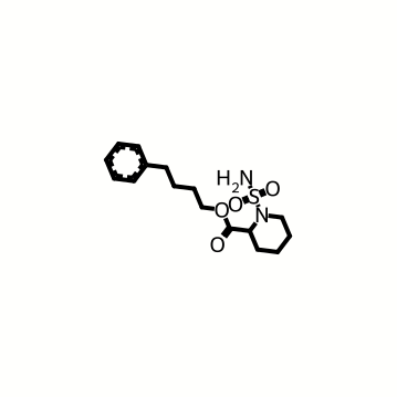 NS(=O)(=O)N1CCCCC1C(=O)OCCCCc1ccccc1